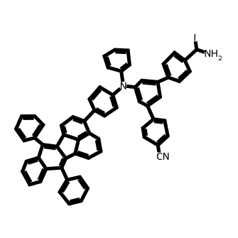 N#Cc1ccc(-c2cc(-c3ccc(C(N)I)cc3)cc(N(c3ccccc3)c3ccc(-c4ccc5c6c(cccc46)-c4c-5c(-c5ccccc5)c5ccccc5c4-c4ccccc4)cc3)c2)cc1